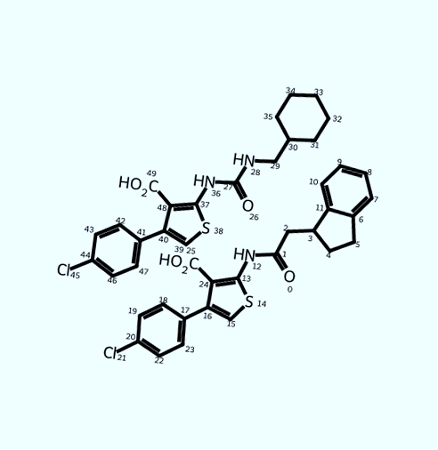 O=C(CC1CCc2ccccc21)Nc1scc(-c2ccc(Cl)cc2)c1C(=O)O.O=C(NCC1CCCCC1)Nc1scc(-c2ccc(Cl)cc2)c1C(=O)O